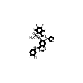 CS(=O)(=O)c1c(F)c(F)c(F)c(F)c1C(=O)Nc1cc2c(Nc3ccc(F)c(Cl)c3)ncnc2cc1O[C@H]1CCOC1